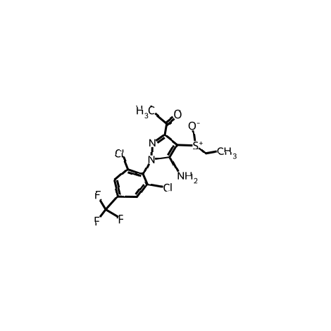 CC[S+]([O-])c1c(C(C)=O)nn(-c2c(Cl)cc(C(F)(F)F)cc2Cl)c1N